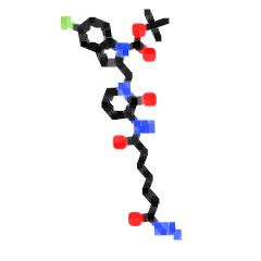 CC(C)(C)OC(=O)n1c(Cn2cccc(NC(=O)CCC/C=C/C(N)=O)c2=O)cc2cc(F)ccc21